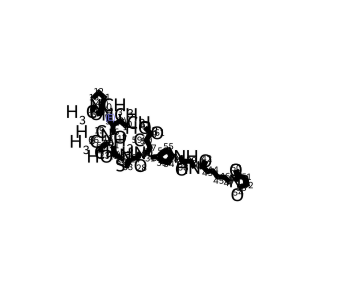 CC[C@H](C)C(/C=N/C(=O)[C@@]1(C)CCCN1C)C(=O)N(C)[C@H](C[C@@H](O)c1nc(C(=O)N[C@@H](Cc2ccc(NC(=O)CNC(=O)CCCCCN3C(=O)C=CC3=O)cc2)C[C@H](C)C(=O)O)cs1)C(C)C